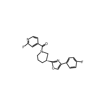 O=C(c1ccnc(F)c1)N1CCC[C@H](c2nc(-c3ccc(F)cc3)co2)C1